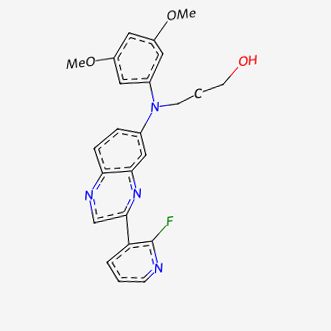 COc1cc(OC)cc(N(CCCO)c2ccc3ncc(-c4cccnc4F)nc3c2)c1